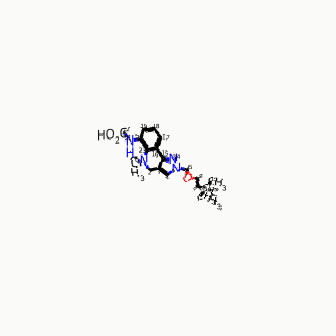 CN1Cc2cn(COCC[Si](C)(C)C)nc2-c2cccc(NC(=O)O)c21